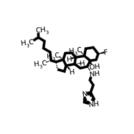 CC(C)CCC[C@@H](C)[C@H]1CC[C@H]2[C@@H]3C[C@@H](NCCc4c[nH]cn4)[C@@]4(O)C[C@H](F)CC[C@]4(C)[C@H]3CC[C@]12C